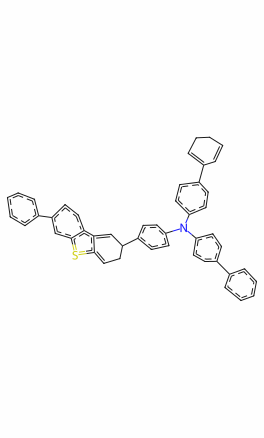 C1=CC(c2ccc(N(c3ccc(-c4ccccc4)cc3)c3ccc(C4C=c5c(sc6cc(-c7ccccc7)ccc56)=CC4)cc3)cc2)=CCC1